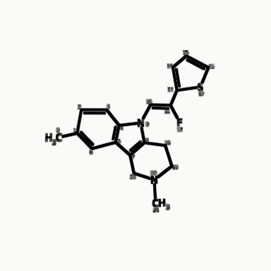 Cc1ccc2c(c1)c1c(n2C=C(F)c2cccs2)CCN(C)C1